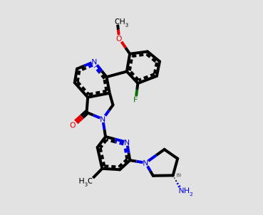 COc1cccc(F)c1-c1nccc2c1CN(c1cc(C)cc(N3CC[C@H](N)C3)n1)C2=O